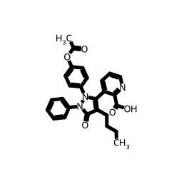 CCCCc1c(-c2cccnc2C(=O)O)n(-c2ccc(OC(C)=O)cc2)n(-c2ccccc2)c1=O